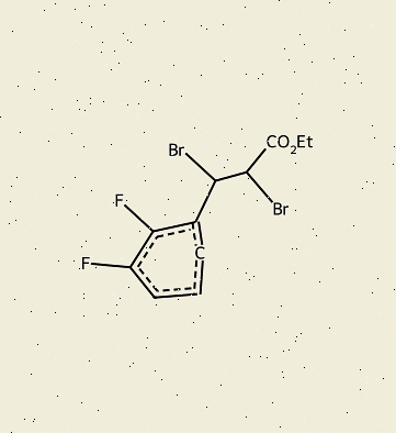 CCOC(=O)C(Br)C(Br)c1cccc(F)c1F